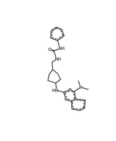 CN(C)c1nc(NC2CCC(CNC(=O)Nc3ccccc3)CC2)nc2ccccc12